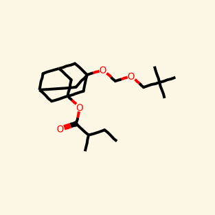 CCC(C)C(=O)OC12CC3CC(CC(OCOCC(C)(C)C)(C3)C1)C2